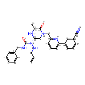 C=CCNN(C(=O)NCc1ccccc1)[C@H]1CN(Cc2cccc(-c3cccc(C#N)c3)n2)C(=O)[C@H](C)N1